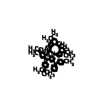 Cc1ccc(N(c2ccccc2)c2cc3c4c(c2)N2c5ccc6c(c5)C(C)(CCC6(C)C)CC5(C)CCC(C)(C)c6cc7sc(c2c7cc65)B4c2cc(C(C)(C)C)ccc2N3c2ccc(C(C)(C)C)cc2)cc1